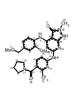 COCc1ccc(Nc2cc(Nc3ccc(C(=O)N4CCCC4)c(C(F)(F)F)n3)nc3[nH]n(C)c(=O)c23)c(OC)c1